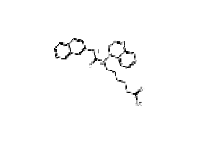 CCC(=O)CCCCC[C@@H](C(=O)Nc1ccc2ccccc2c1)N1CC=Nc2ccccc21